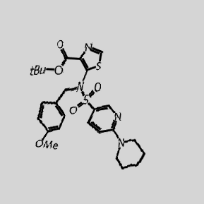 COc1ccc(CN(c2scnc2C(=O)OC(C)(C)C)S(=O)(=O)c2ccc(N3CCCCC3)nc2)cc1